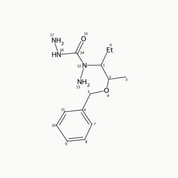 CCC(C(C)OCc1ccccc1)N(N)C(=O)NN